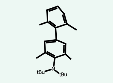 Cc1cccc(C)c1-c1cc(C)c(N(C(C)(C)C)C(C)(C)C)c(C)c1